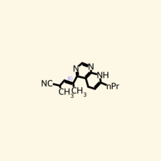 CCCC1=CCc2c(ncnc2/C(C)=C/C(C)C#N)N1